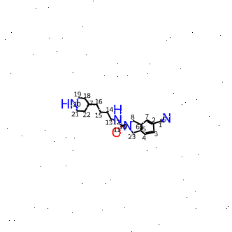 N#Cc1ccc2c(c1)CN(C(=O)NCCCCC1CCNCC1)C2